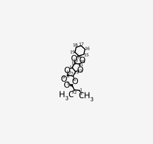 CCC(C)C(=O)OC1C(=O)OC2C3OC4(CCCCC4)OC3OC12